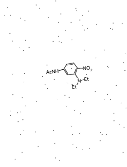 CCN(CC)c1cc(NC(C)=O)ccc1[N+](=O)[O-]